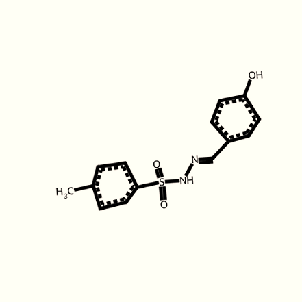 Cc1ccc(S(=O)(=O)N/N=C/c2ccc(O)cc2)cc1